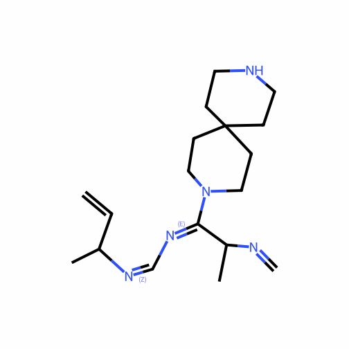 C=CC(C)/N=C\N=C(/C(C)N=C)N1CCC2(CCNCC2)CC1